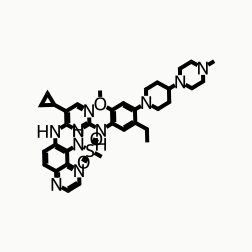 CCc1cc(Nc2ncc(C3CC3)c(Nc3ccc4nccnc4c3NS(C)(=O)=O)n2)c(OC)cc1N1CCC(N2CCN(C)CC2)CC1